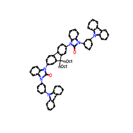 CCCCCCCCC1(CCCCCCCC)c2cc(-n3c(=O)n(-c4cccc(-n5c6ccccc6c6ccccc65)c4)c4ccccc43)ccc2-c2ccc(-n3c(=O)n(-c4cccc(-n5c6ccccc6c6ccccc65)c4)c4ccccc43)cc21